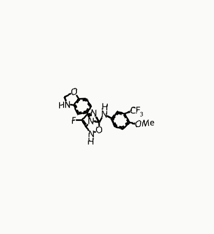 COc1ccc(NC23N=CC(F)=C(NO2)N3c2ccc3c(c2)NCO3)cc1C(F)(F)F